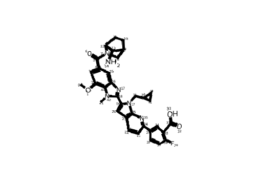 COc1cc(C(=O)N2CC3CCC2C3N)cc2nc(-c3cc4ccc(-c5ccc(F)c(C(=O)O)c5)nc4n3CC3CC3)n(C)c12